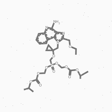 CCOCc1nc2c(N)nc3ccccc3c2n1CC1(OCP(=O)(OCOC(=O)OC(C)C)OCOC(=O)OC(C)C)CC1